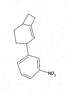 O=[N+]([O-])c1cccc(C2C=C3CCC3CC2)c1